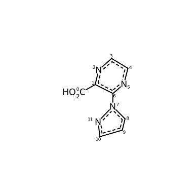 O=C(O)c1nccnc1-n1cccn1